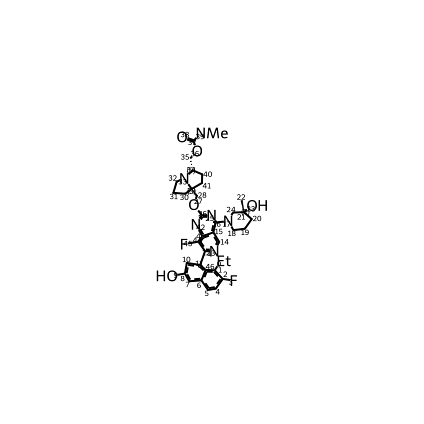 CCc1c(F)ccc2cc(O)cc(-c3ncc4c(N5CCC[C@@](C)(O)C5)nc(OC[C@@]56CCCN5[C@H](COC(=O)NC)CC6)nc4c3F)c12